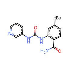 CC(C)(C)c1ccc(C(N)=O)c(NC(=O)Nc2cccnc2)c1